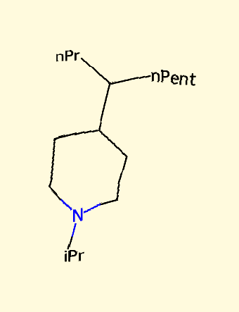 CCCCCC(CCC)C1CCN(C(C)C)CC1